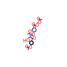 CC(=O)OCOC(=O)N1CCC(ON(C(C)=O)C(CO)C(=O)c2ccc(OC(C)=O)cc2)CC1